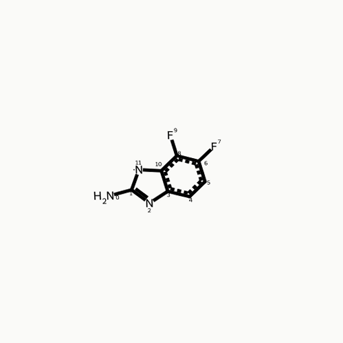 NC1=Nc2ccc(F)c(F)c2[N]1